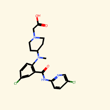 CN(c1ccc(Cl)cc1C(=O)Nc1ccc(Cl)cn1)C1CCN(CC(=O)O)CC1